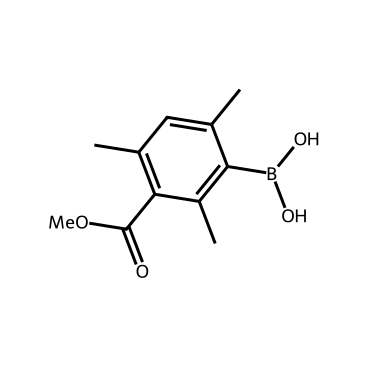 COC(=O)c1c(C)cc(C)c(B(O)O)c1C